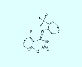 NNC(=Nc1ccccc1C(F)(F)F)c1c(F)cccc1Cl